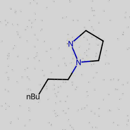 CCCCCCN1CCC[N]1